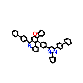 c1ccc(-c2ccc(-c3cc(-c4ccc(-c5c6c(cc7c(-c8ccc(-c9ccccc9)cc8)nc8ccccc8c57)oc5ccccc56)cc4)nc(-c4ccccc4)n3)cc2)cc1